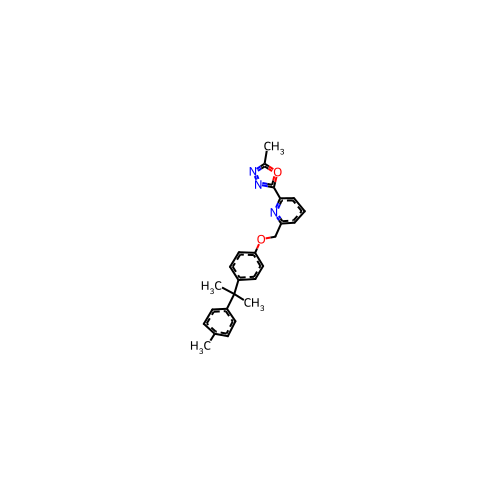 Cc1ccc(C(C)(C)c2ccc(OCc3cccc(-c4nnc(C)o4)n3)cc2)cc1